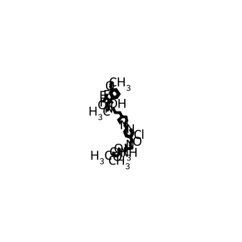 COc1cccc(C(O)(C(=O)N(C)CCCC2CCN(c3ccc(C(=O)N4CC(NC(=O)OC(C)(C)C)C4)c(Cl)n3)CC2)C(F)(F)F)c1